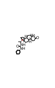 CC(NC(=O)Nc1ccccc1)[C@H]1CC[C@H]2[C@@H]3CC[C@H]4N(C)C(=O)CC[C@]4(C)[C@H]3CC[C@]12C